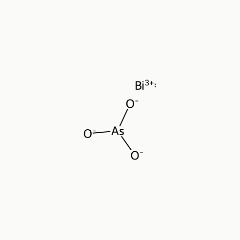 [Bi+3].[O-][As]([O-])[O-]